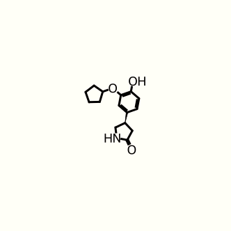 O=C1C[C@H](c2ccc(O)c(OC3CCCC3)c2)CN1